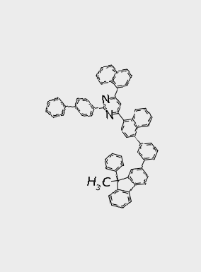 CC1(c2ccccc2)c2ccccc2-c2ccc(-c3cccc(-c4ccc(-c5cc(-c6cccc7ccccc67)nc(-c6ccc(-c7ccccc7)cc6)n5)c5ccccc45)c3)cc21